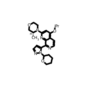 CC(C)Oc1cc(N2CCOC[C@H]2C)nc2c(-c3ccnn3C3CCCCO3)nccc12